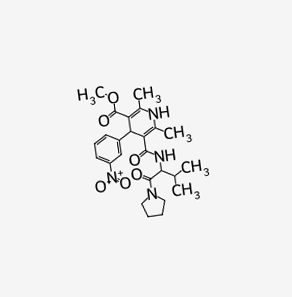 COC(=O)C1=C(C)NC(C)=C(C(=O)NC(C(=O)N2CCCC2)C(C)C)C1c1cccc([N+](=O)[O-])c1